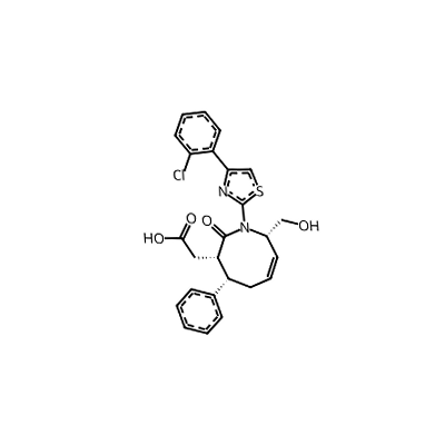 O=C(O)C[C@@H]1C(=O)N(c2nc(-c3ccccc3Cl)cs2)[C@H](CO)C=CC[C@@H]1c1ccccc1